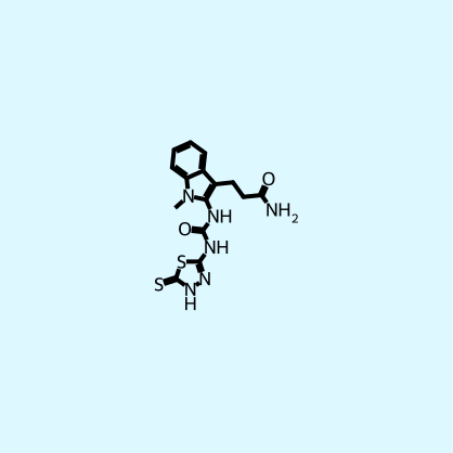 Cn1c(NC(=O)Nc2n[nH]c(=S)s2)c(CCC(N)=O)c2ccccc21